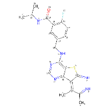 CC(=N)/C(C)=C1\C(=N)Sc2c(NCc3ccc(F)c(C(=O)NC(C)C)c3)ncnc21